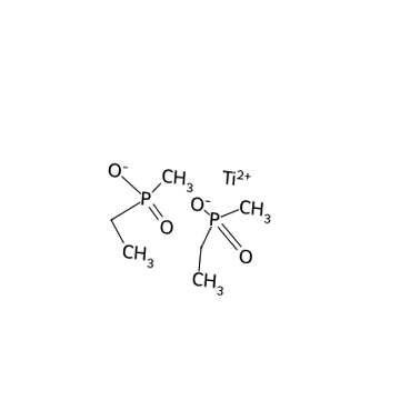 CCP(C)(=O)[O-].CCP(C)(=O)[O-].[Ti+2]